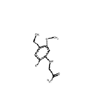 COc1cc(NCC(C)=O)c(Cl)cc1CO